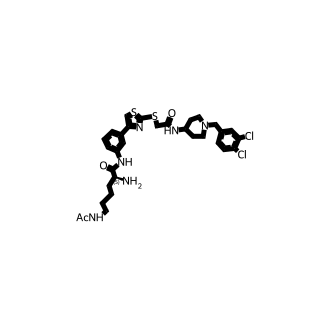 CC(=O)NCCCC[C@H](N)C(=O)Nc1cccc(-c2csc(SCC(=O)NC3CCN(Cc4ccc(Cl)c(Cl)c4)CC3)n2)c1